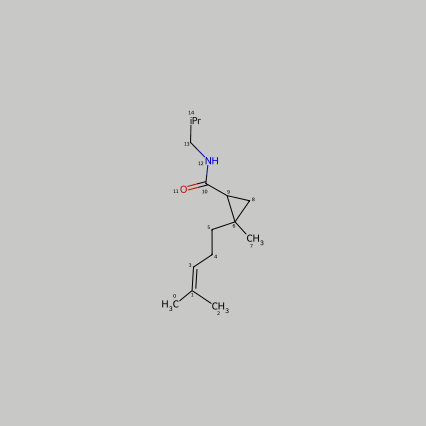 CC(C)=CCCC1(C)CC1C(=O)NCC(C)C